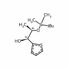 C[C@@H](O[Si](C)(C)C(C)(C)C)[C@H](O)c1cccs1